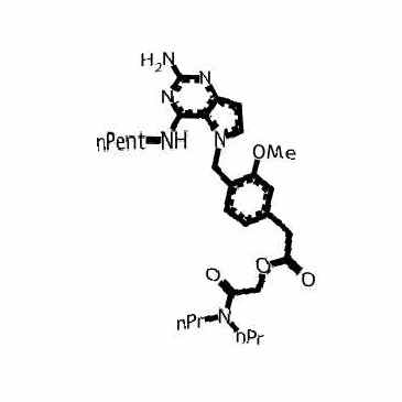 CCCCCNc1nc(N)nc2ccn(Cc3ccc(CC(=O)OCC(=O)N(CCC)CCC)cc3OC)c12